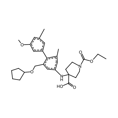 CCOC(=O)N1CCC(Nc2cc(C)c(-c3cc(C)cc(OC)c3)c(COC3CCCC3)c2)(C(=O)O)CC1